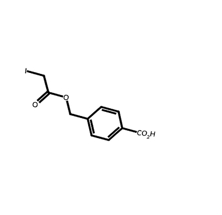 O=C(CI)OCc1ccc(C(=O)O)cc1